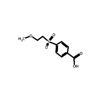 COCCS(=O)(=O)c1ccc(C(=O)O)cc1